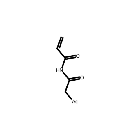 C=CC(=O)NC(=O)CC(C)=O